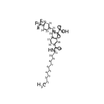 CCCCCCCCCCCCNC(=O)c1ccc(CN(Cc2ccc(C(F)(F)F)cc2)C(=O)C(=O)O)cc1